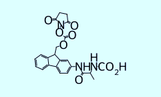 CC(NC(=O)O)C(=O)Nc1ccc2c(c1)C(COC(=O)ON1C(=O)CCC1=O)c1ccccc1-2